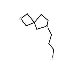 ClCCCN1CCC2(COC2)C1